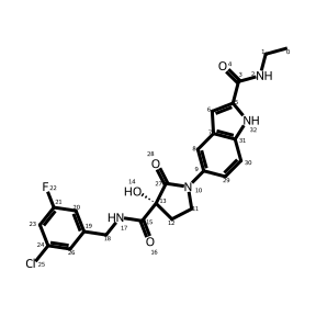 CCNC(=O)c1cc2cc(N3CC[C@@](O)(C(=O)NCc4cc(F)cc(Cl)c4)C3=O)ccc2[nH]1